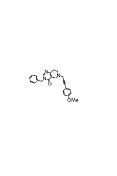 COc1ccc(C#CCN2CCc3ncn(Cc4ccccc4)c(=O)c3C2)cc1